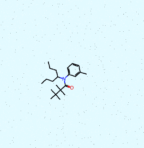 CCCC(CCC)N(C(=O)C(C)(C)C(C)(C)C)c1cccc(C)c1